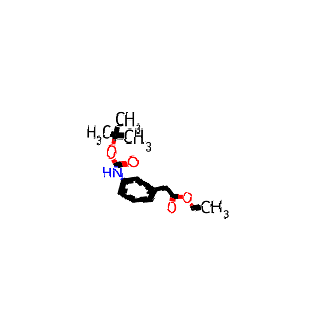 CCOC(=O)Cc1cccc(NC(=O)OC(C)(C)C)c1